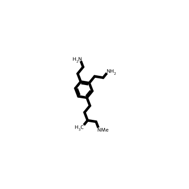 CNCC(C)CCc1ccc(CCN)c(CCN)c1